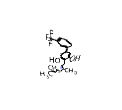 CC(C)=CCC/C(C)=C/Cc1c(O)cc(-c2cccc(C(F)(F)F)c2)cc1O